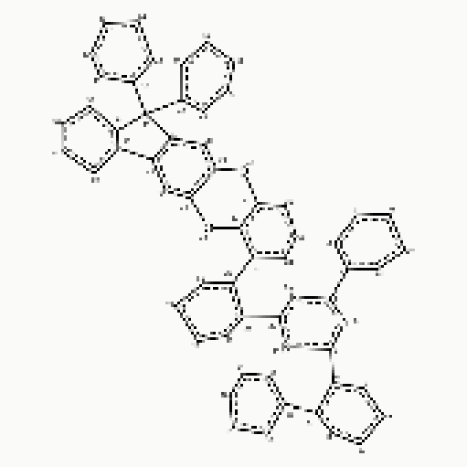 c1ccc(-c2nc(-c3ccccc3-c3ccccc3)nc(-c3ccccc3-c3cccc4c3Oc3cc5c(cc3O4)C(c3ccccc3)(c3ccccc3)c3ccccc3-5)n2)cc1